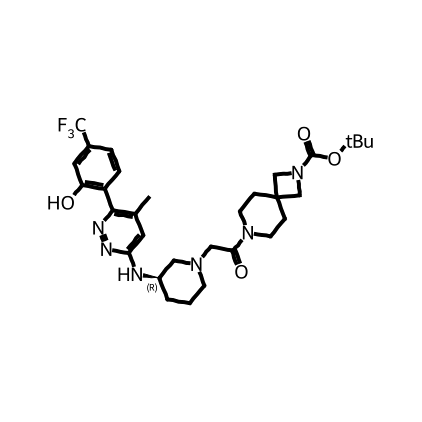 Cc1cc(N[C@@H]2CCCN(CC(=O)N3CCC4(CC3)CN(C(=O)OC(C)(C)C)C4)C2)nnc1-c1ccc(C(F)(F)F)cc1O